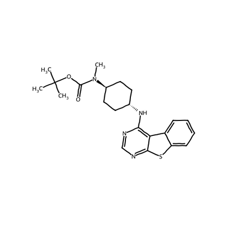 CN(C(=O)OC(C)(C)C)[C@H]1CC[C@H](Nc2ncnc3sc4ccccc4c23)CC1